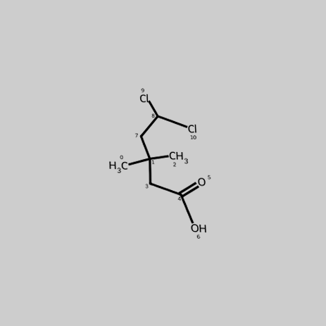 CC(C)(CC(=O)O)CC(Cl)Cl